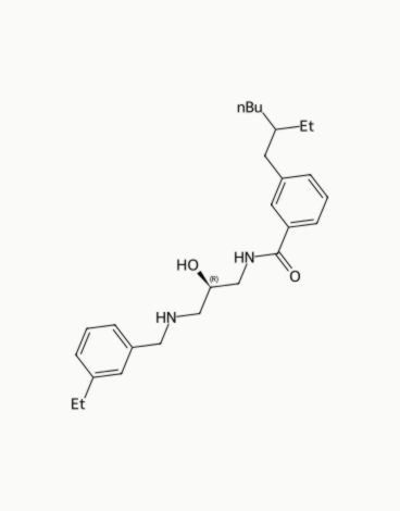 CCCCC(CC)Cc1cccc(C(=O)NC[C@H](O)CNCc2cccc(CC)c2)c1